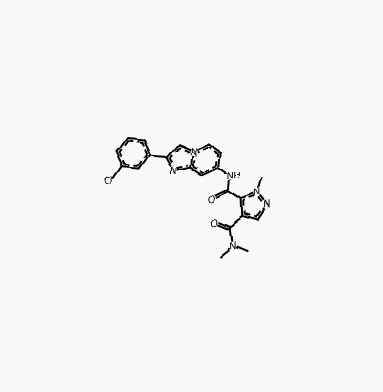 CN(C)C(=O)c1cnn(C)c1C(=O)Nc1ccn2cc(-c3cccc(Cl)c3)nc2c1